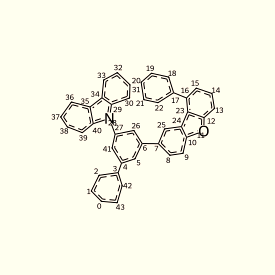 c1ccc(-c2cc(-c3ccc4oc5cccc(-c6ccccc6)c5c4c3)cc(-n3c4ccccc4c4ccccc43)c2)cc1